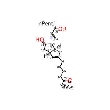 CCCCC[C@H](O)/C=C/[C@@H]1[C@H]2CC(CCCCC(=O)NC)=C[C@H]2C[C@H]1O